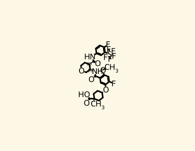 COc1cc(F)c(O[C@H]2CC[C@@](C)(C(=O)O)CC2)cc1C(=O)N[C@H]1COCC[C@H]1C(=O)Nc1ccc(F)c(S(F)(F)(F)(F)F)c1